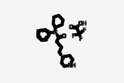 O=C(CCCN1CCNCC1)N(c1ccccc1)C1CCCCC1.O=C(O)C(F)(F)F